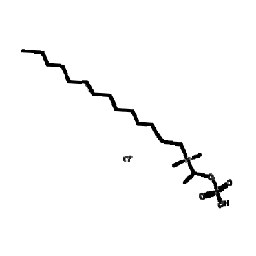 CCCCCCCCCCCCCC[N+](C)(C)C(C)OS(=O)(=O)O.[Cl-]